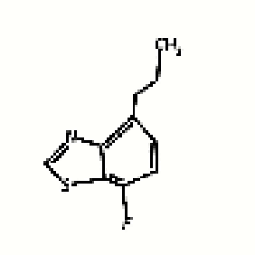 CCCc1ccc(F)c2scnc12